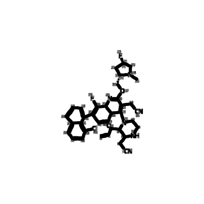 C=CC(=O)C1C(CC#N)NCCN1C1=C(CC#N)C(OC[C@@H]2C[C@@H](F)CN2C)=NC2C(F)=C(c3cccc4cccc(Cl)c34)C=CC12